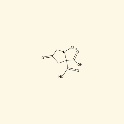 CN1CC(=O)CC1(C(=O)O)C(=O)O